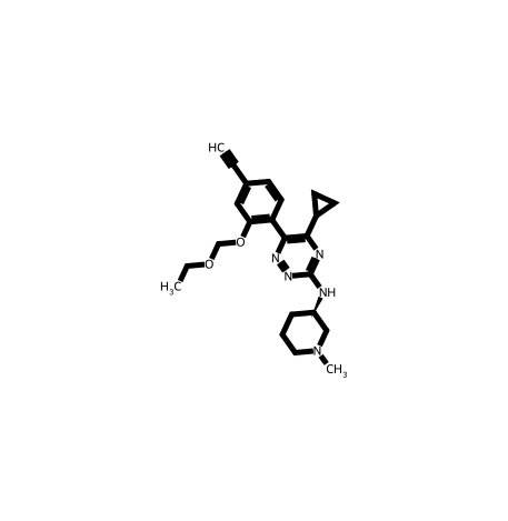 C#Cc1ccc(-c2nnc(N[C@@H]3CCCN(C)C3)nc2C2CC2)c(OCOCC)c1